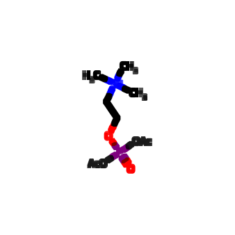 CC(=O)OP(=O)(OCC[N+](C)(C)C)OC(C)=O